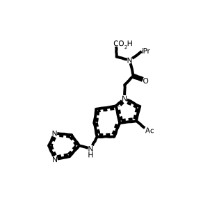 CC(=O)c1cn(CC(=O)N(CC(=O)O)C(C)C)c2ccc(Nc3cncnc3)cc12